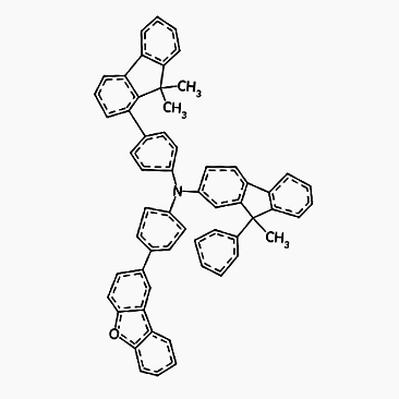 CC1(C)c2ccccc2-c2cccc(-c3ccc(N(c4ccc(-c5ccc6oc7ccccc7c6c5)cc4)c4ccc5c(c4)C(C)(c4ccccc4)c4ccccc4-5)cc3)c21